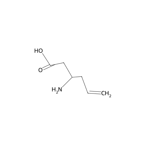 C=CCC(N)CC(=O)O